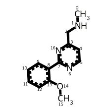 CNCc1ccnc(-c2ccccc2OC)n1